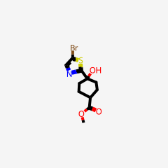 COC(=O)C1CCC(O)(c2ncc(Br)s2)CC1